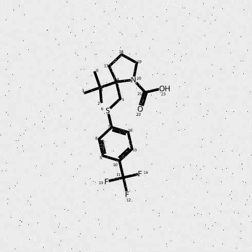 CC(C)(C)C1(CSc2ccc(C(F)(F)F)cc2)CCCN1C(=O)O